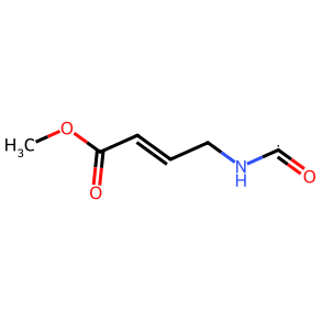 COC(=O)/C=C/CN[C]=O